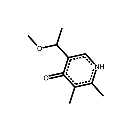 COC(C)c1c[nH]c(C)c(C)c1=O